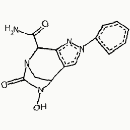 NC(=O)C1c2nn(-c3ccccc3)cc2C2CN1C(=O)N2O